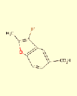 Cc1oc2ccc(C(=O)O)cc2c1Br